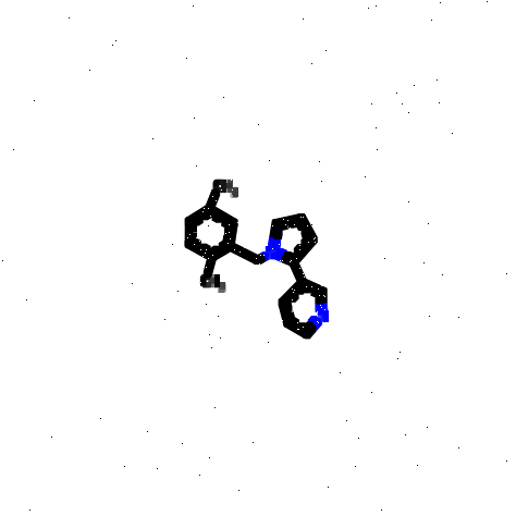 Cc1ccc(C)c(Cn2cccc2-c2cccnc2)c1